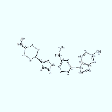 CCN[C@H]1CC[C@@H](c2cn(-c3cnc(-n4ncc5cc(C#N)cnc54)cc3NC(C)C)nn2)CC1